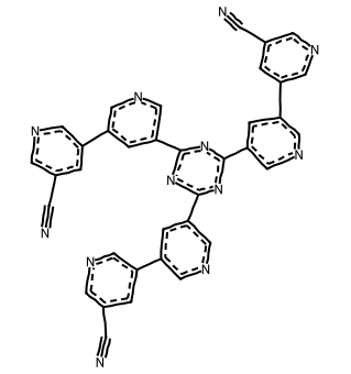 N#Cc1cncc(-c2cncc(-c3nc(-c4cncc(-c5cncc(C#N)c5)c4)nc(-c4cncc(-c5cncc(C#N)c5)c4)n3)c2)c1